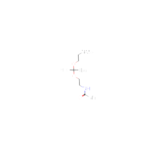 CCCC(=O)NCCOC(C)(OCCNC)C(C)(C)C